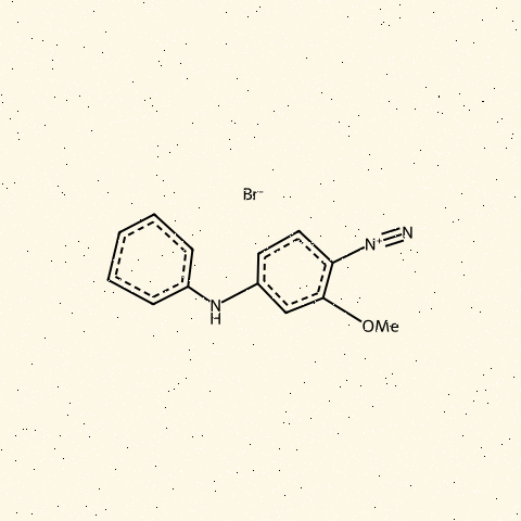 COc1cc(Nc2ccccc2)ccc1[N+]#N.[Br-]